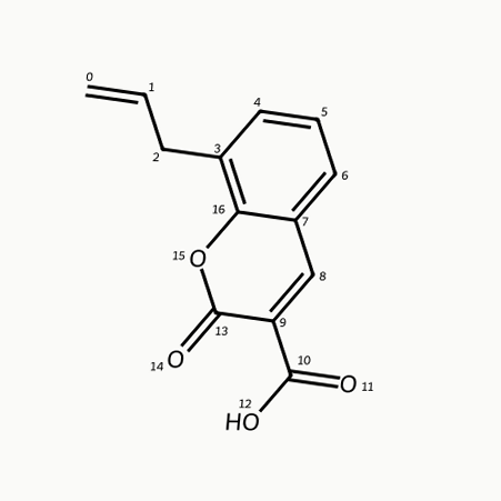 C=CCc1cccc2cc(C(=O)O)c(=O)oc12